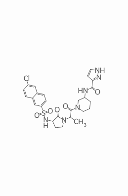 CC(C(=O)N1CCCC(NC(=O)c2cc[nH]n2)C1)N1CCC(NS(=O)(=O)c2ccc3cc(Cl)ccc3c2)C1=O